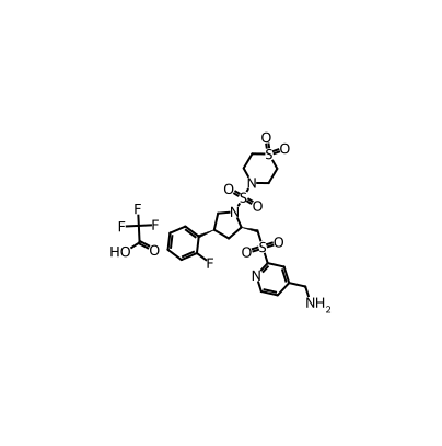 NCc1ccnc(S(=O)(=O)C[C@H]2C[C@@H](c3ccccc3F)CN2S(=O)(=O)N2CCS(=O)(=O)CC2)c1.O=C(O)C(F)(F)F